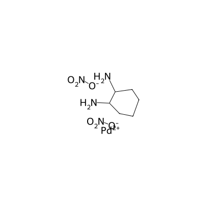 NC1CCCCC1N.O=[N+]([O-])[O-].O=[N+]([O-])[O-].[Pd+2]